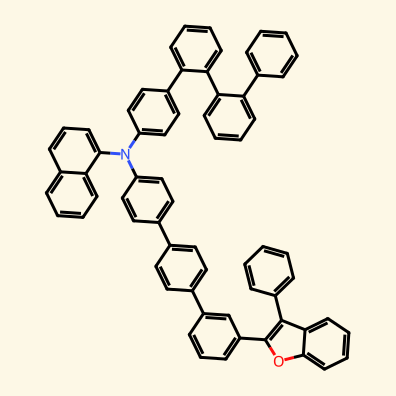 c1ccc(-c2ccccc2-c2ccccc2-c2ccc(N(c3ccc(-c4ccc(-c5cccc(-c6oc7ccccc7c6-c6ccccc6)c5)cc4)cc3)c3cccc4ccccc34)cc2)cc1